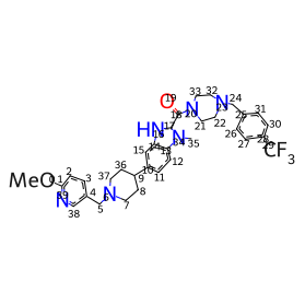 COc1ccc(CN2CCC(c3ccc4c(c3)NC(C(=O)N3CCN(Cc5ccc(C(F)(F)F)cc5)CC3)N4C)CC2)cn1